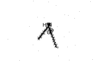 CCCCCCCCCCCCCC(=O)C(=O)CCC(CCCCCCCCCCCC)C1=NCCN1